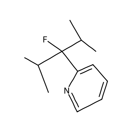 CC(C)C(F)(c1ccccn1)C(C)C